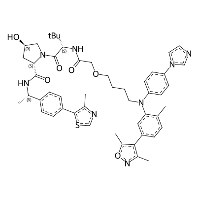 Cc1ccc(-c2c(C)noc2C)cc1N(CCCCOCC(=O)N[C@H](C(=O)N1C[C@H](O)C[C@H]1C(=O)N[C@@H](C)c1ccc(-c2scnc2C)cc1)C(C)(C)C)c1ccc(-n2ccnc2)cc1